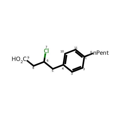 CCCCCc1ccc(CC(Cl)CC(=O)O)cc1